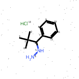 CC(C)(C)C(NN)c1ccccc1.Cl